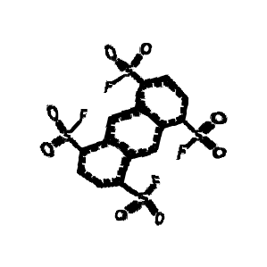 O=S(=O)(F)c1ccc(S(=O)(=O)F)c2cc3c(S(=O)(=O)F)ccc(S(=O)(=O)F)c3cc12